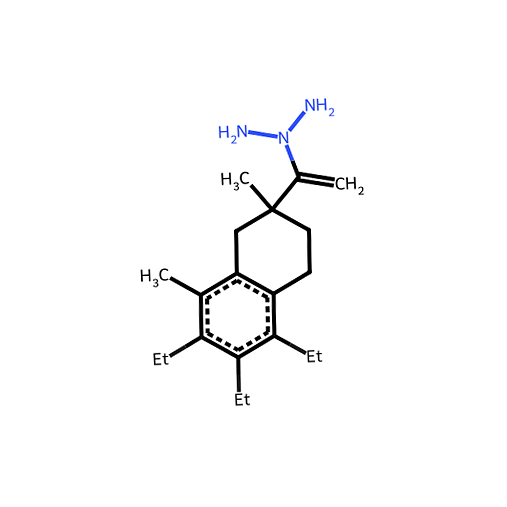 C=C(N(N)N)C1(C)CCc2c(c(C)c(CC)c(CC)c2CC)C1